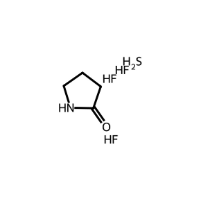 F.F.F.O=C1CCCN1.S